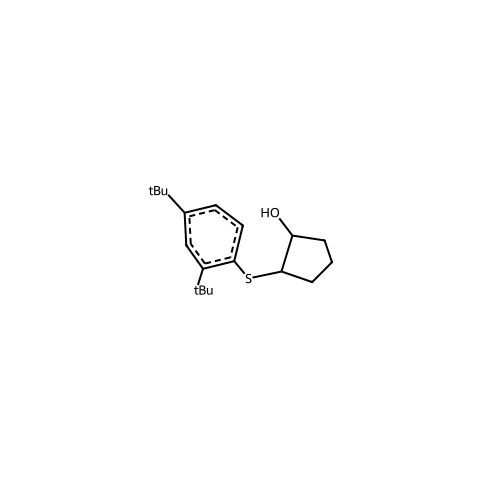 CC(C)(C)c1ccc(SC2CCCC2O)c(C(C)(C)C)c1